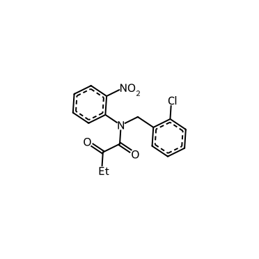 CCC(=O)C(=O)N(Cc1ccccc1Cl)c1ccccc1[N+](=O)[O-]